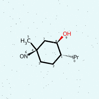 CC(C)[C@@H]1CC[C@@](C)(N=O)C[C@H]1O